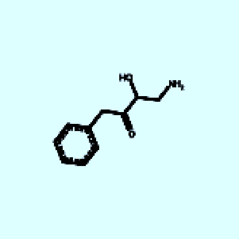 NCC(O)C(=O)Cc1ccccc1